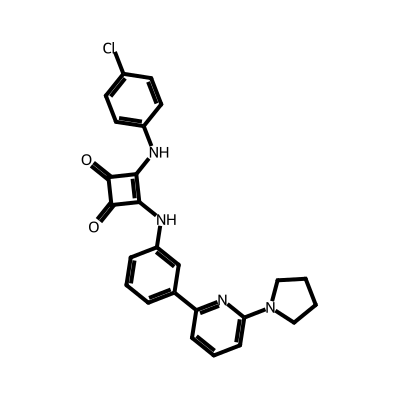 O=c1c(Nc2ccc(Cl)cc2)c(Nc2cccc(-c3cccc(N4CCCC4)n3)c2)c1=O